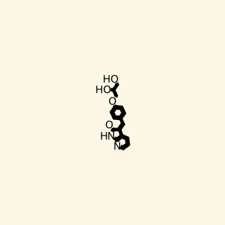 O=C1Nc2ncccc2C1=Cc1ccc(OCC(O)CO)cc1